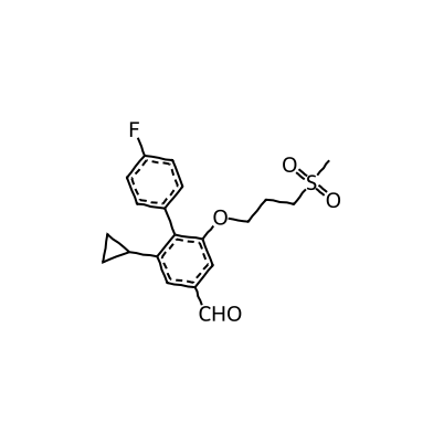 CS(=O)(=O)CCCOc1cc(C=O)cc(C2CC2)c1-c1ccc(F)cc1